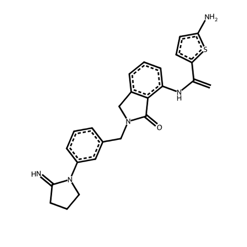 C=C(Nc1cccc2c1C(=O)N(Cc1cccc(N3CCCC3=N)c1)C2)c1ccc(N)s1